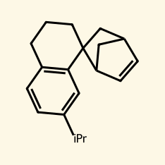 CC(C)c1ccc2c(c1)C1(CCC2)CC2C=CC1C2